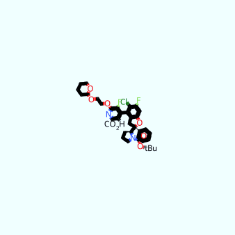 CC(C)(C)OC(=O)N1CCC[C@H]1[C@@]1(c2ccccc2)Cc2c(cc(F)c(Cl)c2-c2c(C(=O)O)cnc(OCCOC3CCCCO3)c2F)O1